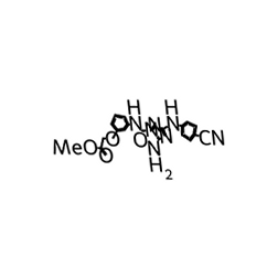 COC(=O)COc1cccc(NC(=O)n2nc(Nc3ccc(C#N)cc3)nc2N)c1